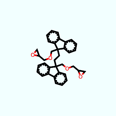 c1ccc2c(c1)-c1ccccc1C2(CCC1(COCC2CO2)c2ccccc2-c2ccccc21)COCC1CO1